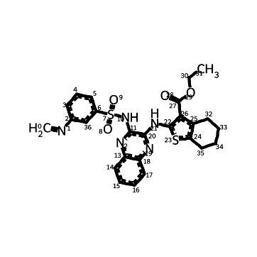 C=Nc1cccc(S(=O)(=O)Nc2nc3ccccc3nc2Nc2sc3c(c2C(=O)OCC)CCCC3)c1